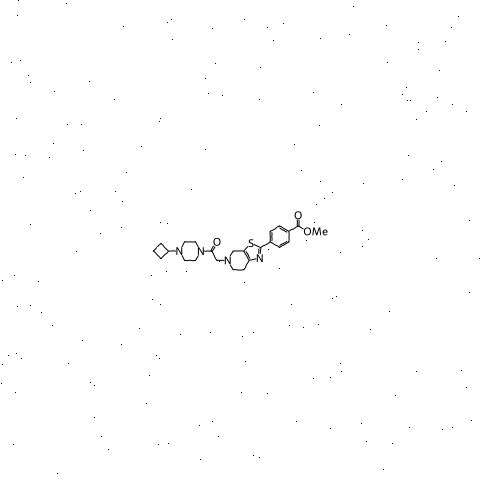 COC(=O)c1ccc(-c2nc3c(s2)CN(CC(=O)N2CCN(C4CCC4)CC2)CC3)cc1